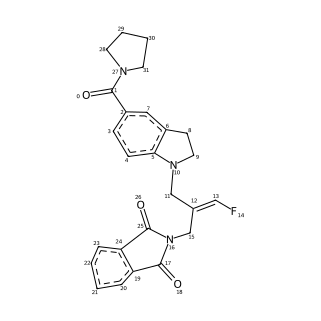 O=C(c1ccc2c(c1)CCN2CC(=CF)CN1C(=O)c2ccccc2C1=O)N1CCCC1